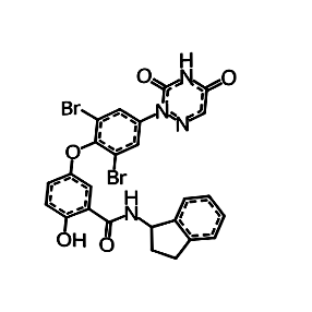 O=C(NC1CCc2ccccc21)c1cc(Oc2c(Br)cc(-n3ncc(=O)[nH]c3=O)cc2Br)ccc1O